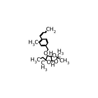 C=C/C=C\c1ccc(CO[C@H]2[C@H]3OC(C)(C)O[C@H]3O[C@@]2(C)CC)cc1C